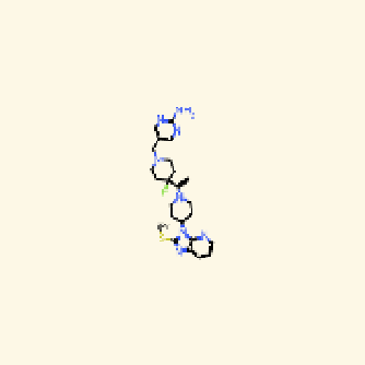 C=C(N1CCC(n2c(SC(C)C)nc3cccnc32)CC1)C1(F)CCN(Cc2cnc(N)nc2)CC1